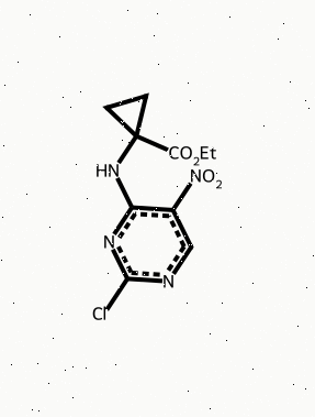 CCOC(=O)C1(Nc2nc(Cl)ncc2[N+](=O)[O-])CC1